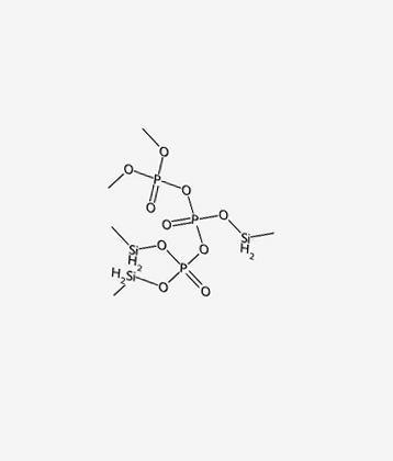 COP(=O)(OC)OP(=O)(O[SiH2]C)OP(=O)(O[SiH2]C)O[SiH2]C